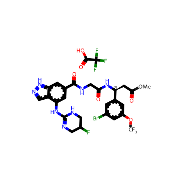 COC(=O)C[C@H](NC(=O)CNC(=O)c1cc(NC2=NCC(F)CN2)c2cn[nH]c2c1)c1cc(Br)cc(OC(F)(F)F)c1.O=C(O)C(F)(F)F